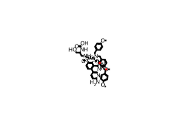 COc1ccc(CN(Cc2ccc(OC)cc2)S(=O)(=O)c2c(S(=O)(=O)NCC(CO)NC(=O)O)ccc(-c3ccc(N)nc3)c2-c2nnn(Cc3ccc(OC)cc3)n2)cc1